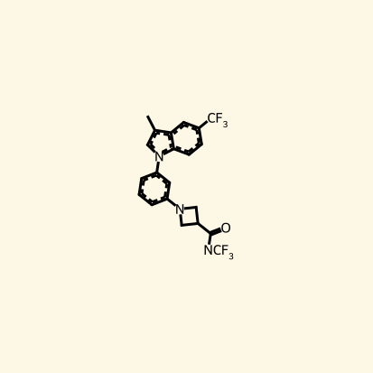 Cc1cn(-c2cccc(N3CC(C(=O)NC(F)(F)F)C3)c2)c2ccc(C(F)(F)F)cc12